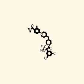 Cc1cc(N2CCC(CC3CCN(C(=O)[C@](O)(c4cc(Cl)cc(Cl)c4)C(F)(F)F)CC3)CC2)ccc1C(=O)N(C)C